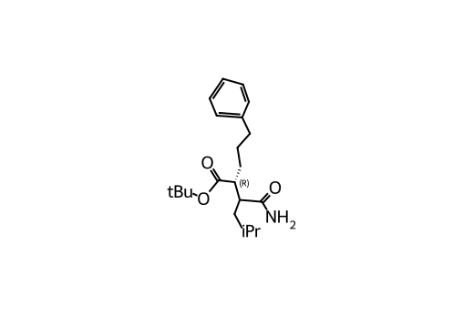 CC(C)CC(C(N)=O)[C@@H](CCCc1ccccc1)C(=O)OC(C)(C)C